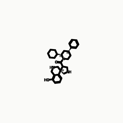 O=C(C1CNC[C@]12CNCc1c(O)cccc12)N1CC[C@@H](c2ccccc2)C[C@H]1C1CCCCC1